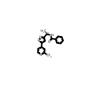 C[C@@H](NC(=O)c1ccccc1)c1cc(-c2ccnc(C(F)(F)F)c2)no1